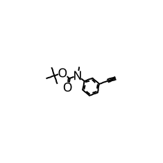 C#Cc1cccc(N(C)C(=O)OC(C)(C)C)c1